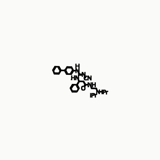 CC(C)N(CCNC(=O)CC(N/C(=N\C#N)Nc1ccc(-c2ccccc2)cc1)c1ccccc1)C(C)C